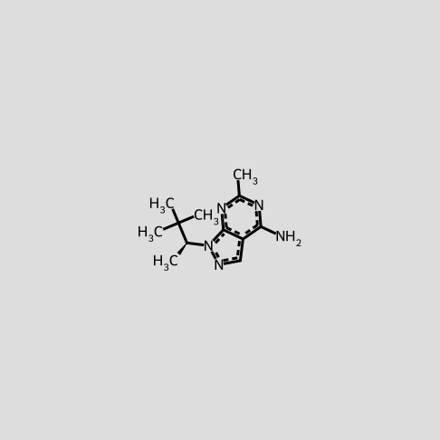 Cc1nc(N)c2cnn([C@@H](C)C(C)(C)C)c2n1